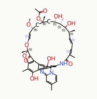 CO[C@H]1/C=C/O[C@@]2(C)Oc3c(C)c(O)c4c(O)c(c5c(nc6cc(C)ccn65)c4c3C2=O)NC(=O)/C(C)=C\C=C\[C@H](C)[C@H](O)[C@@H](C)[C@@H](O)C[C@@](C)(OC(C)=O)C1